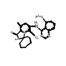 COc1cccc2ncnc(Nc3cc(C)c4n(c3=O)C3(CCCCC3)NC4=O)c12